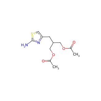 CC(=O)OCC(COC(C)=O)Cc1csc(N)n1